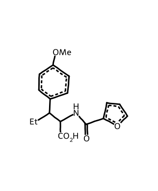 CCC(c1ccc(OC)cc1)C(NC(=O)c1ccco1)C(=O)O